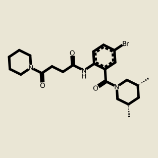 C[C@@H]1C[C@H](C)CN(C(=O)c2cc(Br)ccc2NC(=O)CCC(=O)N2CCCCC2)C1